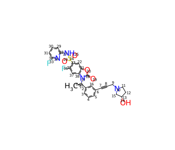 C[C@H](c1cccc(C#CCN2CCC(O)C2)c1)n1c(=O)oc2cc(S(=O)(=O)Nc3cccc(F)n3)c(F)cc21